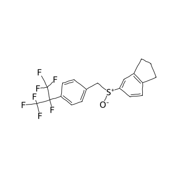 [O-][S+](Cc1ccc(C(F)(C(F)(F)F)C(F)(F)F)cc1)c1ccc2c(c1)CCC2